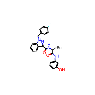 CC(C)(C)[C@H](NC(=O)c1nn(Cc2ccc(F)cc2)c2ccccc12)C(=O)Nc1cccc(O)c1